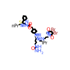 CCCc1nc2c(NC(=O)OCc3ccc(NC[C@H](CCCNC(N)=O)NC[C@@H](NCCCn4c(=O)c(Br)c(Br)c(=O)n4C)C(C)C)cc3)nc3ccccc3c2s1